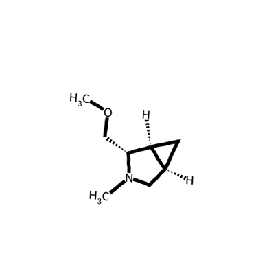 COC[C@@H]1[C@H]2C[C@H]2CN1C